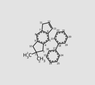 CC1(C)Cc2cc3c(cc2C1)CC=C3.c1ccc(-c2ccccc2)cc1